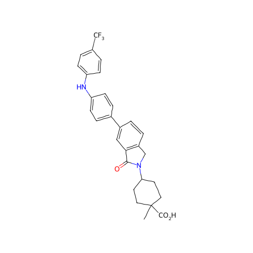 CC1(C(=O)O)CCC(N2Cc3ccc(-c4ccc(Nc5ccc(C(F)(F)F)cc5)cc4)cc3C2=O)CC1